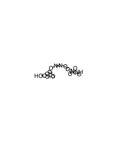 CC12CC=C(O)C=C1CC[C@H](c1ccccc1)[C@@H]2c1ccc(OCCN2CC3(C2)CN(CCOc2ccc4c(c2)CN([C@H]2CCC(=O)NC2=O)C4=O)C3)cc1